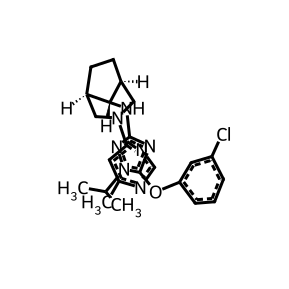 Cc1cc(N2C[C@H]3CC[C@@H](C2)[C@@H]3Nc2nc(Oc3cccc(Cl)c3)n(C(C)C)n2)ncn1